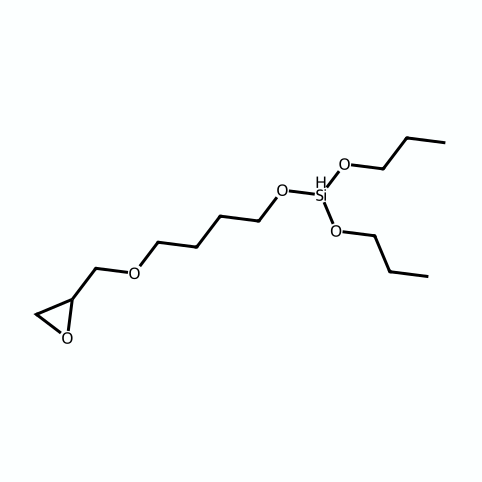 CCCO[SiH](OCCC)OCCCCOCC1CO1